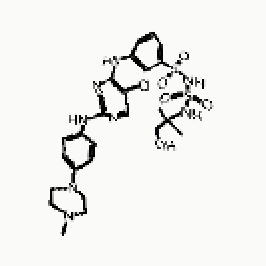 CN1CCN(c2ccc(Nc3ncc(Cl)c(Nc4cccc(S(=O)(=O)NS(=O)(=O)NC(C)(C)CO)c4)n3)cc2)CC1